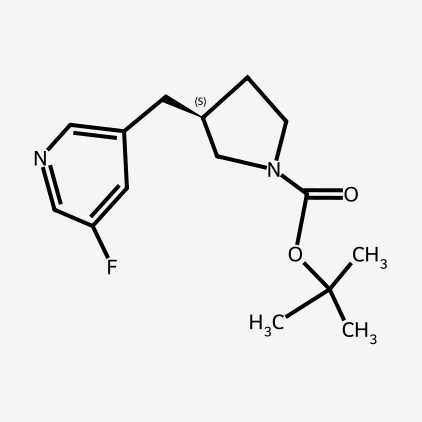 CC(C)(C)OC(=O)N1CC[C@H](Cc2cncc(F)c2)C1